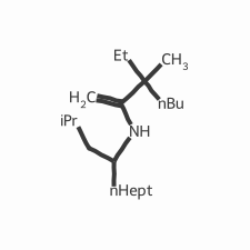 C=C(NC(CCCCCCC)CC(C)C)C(C)(CC)CCCC